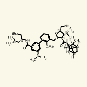 COC1=C(c2cc(C(=O)N[C@H](CN(C)C)CC(C)(C)C)cc(N(C)C)c2)CCC=C1CN1O[C@@H](CN)[C@@H]([C@H](C)O)[C@H]1C(=O)N[C@H]1C[C@H]2C[C@@H]([C@@H]1C)C2(C)C